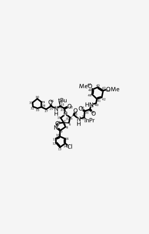 CCC[C@H](NC(=O)[C@@H]1C[C@]2(CC(c3cccc(Cl)c3)=NO2)CN1C(=O)[C@@H](NC(=O)CC1CCCCC1)C(C)(C)C)C(=O)C(=O)NCc1cc(OC)cc(OC)c1